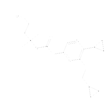 COCCC(C)(C)NC(=O)Oc1cnc(C2CC2)c(OCC2CC2)n1